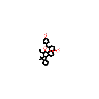 C=Cc1c2c(c3ccccc3c1OC(c1ccc(OC)cc1)c1ccc(OC)cc1)-c1ccccc1C2(C)C